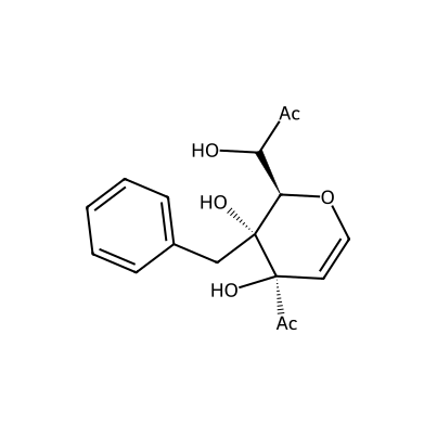 CC(=O)C(O)[C@H]1OC=C[C@](O)(C(C)=O)[C@@]1(O)Cc1ccccc1